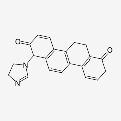 O=C1CC=CC2=C1CCc1c2ccc2c1C=CC(=O)C2N1C=NCC1